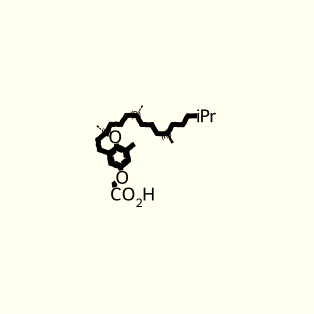 Cc1cc(OCC(=O)O)cc2c1O[C@](C)(CCC[C@H](C)CCC[C@H](C)CCCC(C)C)CC2